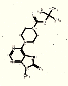 Cn1c(=O)[nH]c2c(N3CCN(C(=O)OC(C)(C)C)CC3)ncnc21